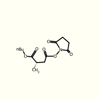 CCCCOC(=O)[C@@H](C)CC(=O)ON1C(=O)CCC1=O